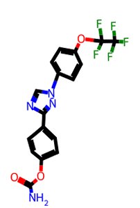 NC(=O)Oc1ccc(-c2ncn(-c3ccc(OC(F)(F)C(F)(F)F)cc3)n2)cc1